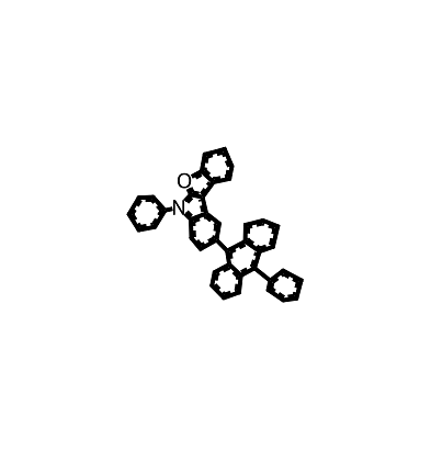 c1ccc(-c2c3ccccc3c(-c3ccc4c(c3)c3c5ccccc5oc3n4-c3ccccc3)c3ccccc23)cc1